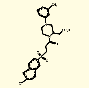 Cc1cc(N2CCN(C(=O)CCS(=O)(=O)c3ccc4cc(Cl)ccc4c3)C(CC(=O)O)C2)ccn1